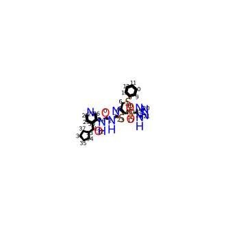 O=C(Nc1nc(CSc2ccccc2)c(S(=O)(=O)c2nnn[nH]2)s1)Nc1cnccc1C(=O)C1CCCC1